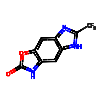 O=c1[nH]c2cc3[nH]c(C(F)(F)F)nc3cc2o1